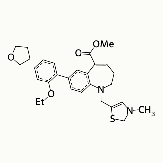 C1CCOC1.CCOc1ccccc1-c1ccc2c(c1)C(C(=O)OC)=CCCN2CC1=CN(C)CS1